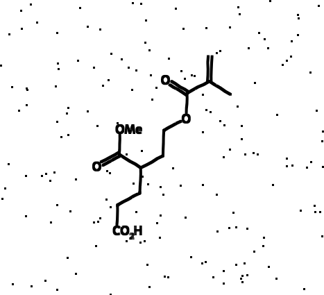 C=C(C)C(=O)OCCC(CCC(=O)O)C(=O)OC